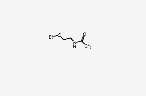 CCSCCNC(=O)C(F)(F)F